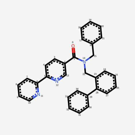 O=C(c1ccc(-c2ccccn2)nc1)N(Cc1ccccc1)Cc1ccccc1-c1ccccc1